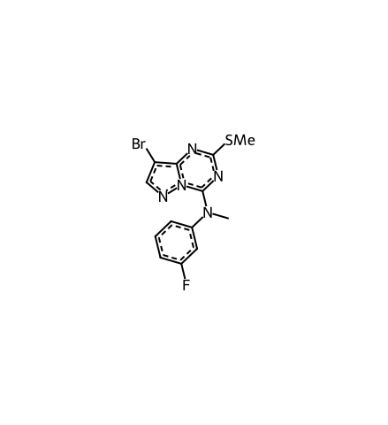 CSc1nc(N(C)c2cccc(F)c2)n2ncc(Br)c2n1